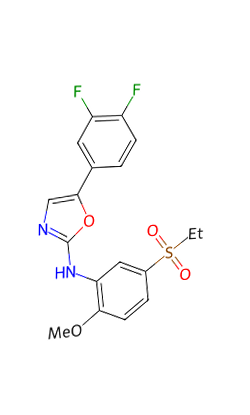 CCS(=O)(=O)c1ccc(OC)c(Nc2ncc(-c3ccc(F)c(F)c3)o2)c1